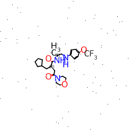 C[C@@H](CNc1ccc(OC(F)(F)F)cc1)NC(=O)[C@@H](CC(=O)N1CCOCC1)CC1CCCC1